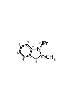 CC(C)N1c2ccccc2CC1C